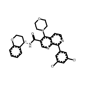 O=C(N[C@H]1CCOc2ccccc21)c1cnc2c(-c3cc(Cl)cc(Cl)c3)nccc2c1N1CCOCC1